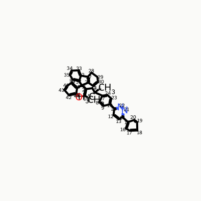 CC1=C(CC(C)(C)c2ccc(-c3ccc(-c4ccccc4)nn3)cc2)C2(C3=C(CCC=C3)c3ccccc32)c2ccccc2O1